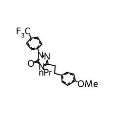 CCCn1c(CCc2ccc(OC)cc2)nn(-c2ccc(C(F)(F)F)cc2)c1=O